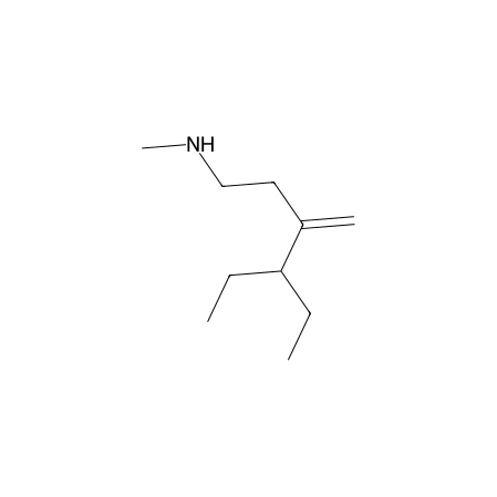 C=C(CCNC)C(CC)CC